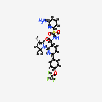 C[C@@H]1CN(c2nc(-c3ccc(OC(F)(F)F)cc3)ccc2C(=O)NS(=O)(=O)c2cccc(N)n2)C(C)(C)C1